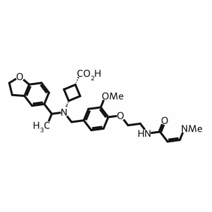 CN/C=C\C(=O)NCCOc1ccc(CN(C(C)c2ccc3c(c2)CCO3)[C@H]2C[C@@H](C(=O)O)C2)cc1OC